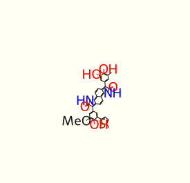 COc1cc(C2=c3ccc4c5c(ccc4c3NC2=O)=C(c2cc(C)c(O)c(O)c2)C(=O)N5)cc(-c2ccc(C)s2)c1O